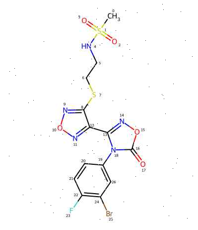 CS(=O)(=O)NCCSc1nonc1-c1noc(=O)n1-c1ccc(F)c(Br)c1